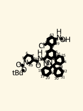 CC(C)(C)OC(=O)N1CCCC(C(=O)Nc2nn(C(c3ccccc3)(c3ccccc3)c3ccccc3)c3ccc(-c4cc(NO)ccc4Cl)cc23)C1